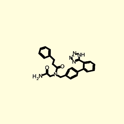 NC(=O)CN(Cc1ccc(-c2ccccc2-c2nnn[nH]2)cc1)C(=O)CCc1ccccc1